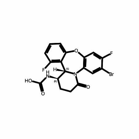 O=C(O)N[C@@H]1CCC(=O)N2c3cc(Br)c(F)cc3Oc3cccc(F)c3[C@@H]12